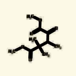 COC(=O)C(=O)C(C)C(C)(C)C(=O)OC